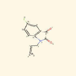 C=CCN1C(=O)C(=O)c2cc(F)ccc21